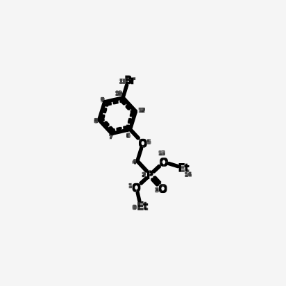 CCOP(=O)(COc1cccc(Br)c1)OCC